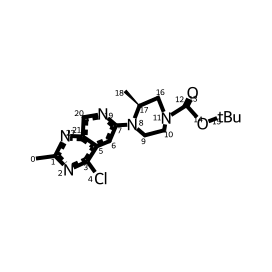 Cc1nc(Cl)c2cc(N3CCN(C(=O)OC(C)(C)C)C[C@@H]3C)ncc2n1